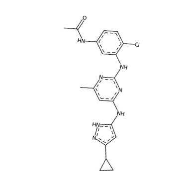 CC(=O)Nc1ccc(Cl)c(Nc2nc(C)cc(Nc3cc(C4CC4)n[nH]3)n2)c1